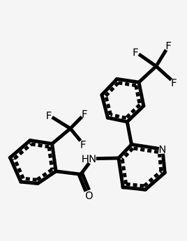 O=C(Nc1cccnc1-c1cccc(C(F)(F)F)c1)c1ccccc1C(F)(F)F